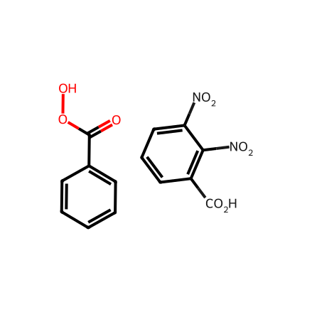 O=C(O)c1cccc([N+](=O)[O-])c1[N+](=O)[O-].O=C(OO)c1ccccc1